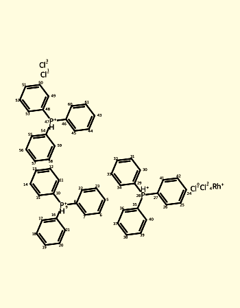 [Cl-].[Cl-].[Cl-].[Cl-].[Rh+].c1ccc([PH+](c2ccccc2)c2ccccc2)cc1.c1ccc([PH+](c2ccccc2)c2ccccc2)cc1.c1ccc([PH+](c2ccccc2)c2ccccc2)cc1